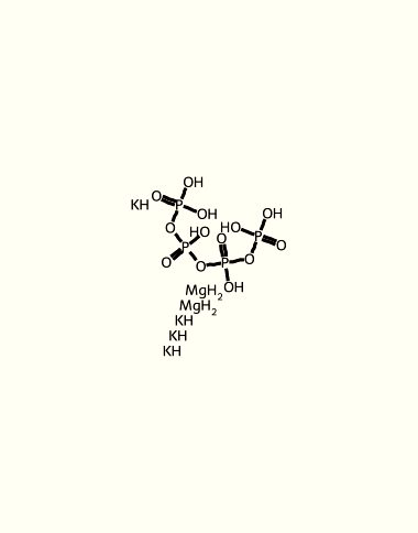 O=P(O)(O)OP(=O)(O)OP(=O)(O)OP(=O)(O)O.[KH].[KH].[KH].[KH].[MgH2].[MgH2]